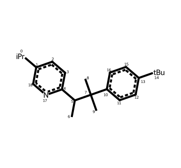 CC(C)c1ccc(C(C)C(C)(C)c2ccc(C(C)(C)C)cc2)nc1